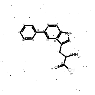 NC(Cc1c[nH]c2ccc(-c3ccccc3)cc12)C(=O)O